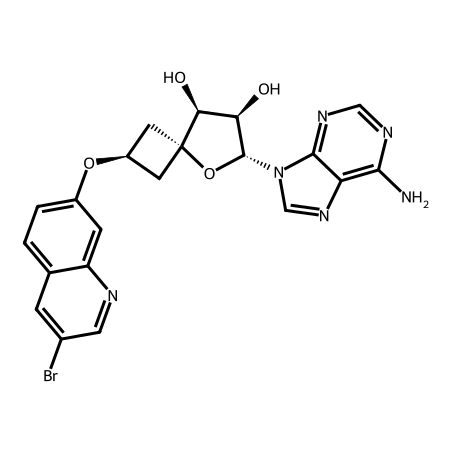 Nc1ncnc2c1ncn2[C@@H]1O[C@]2(C[C@H](Oc3ccc4cc(Br)cnc4c3)C2)[C@@H](O)[C@H]1O